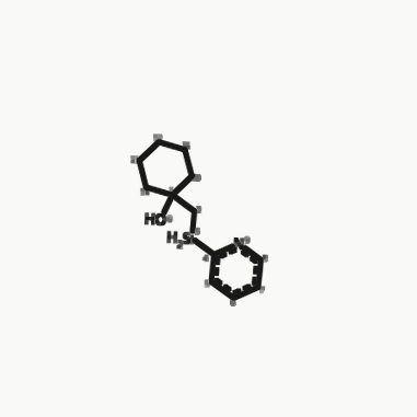 OC1(C[SiH2]c2ccccn2)CCCCC1